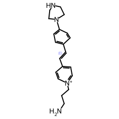 NCCC[n+]1ccc(/C=C/c2ccc(N3CCNCC3)cc2)cc1